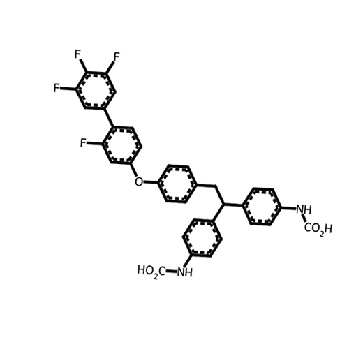 O=C(O)Nc1ccc(C(Cc2ccc(Oc3ccc(-c4cc(F)c(F)c(F)c4)c(F)c3)cc2)c2ccc(NC(=O)O)cc2)cc1